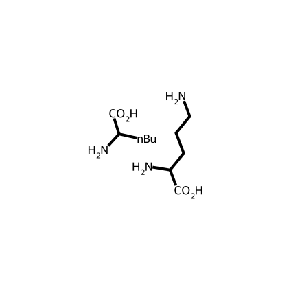 CCCCC(N)C(=O)O.NCCCC(N)C(=O)O